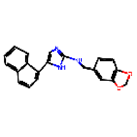 c1ccc2c(-c3cnc(NCc4ccc5c(c4)OCO5)[nH]3)cccc2c1